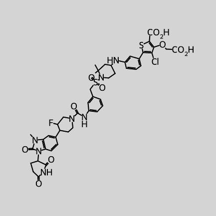 Cn1c(=O)n(C2CCC(=O)NC2=O)c2ccc(C3CCN(C(=O)Nc4cccc(CS(=O)(=O)N5CC[C@H](Nc6cccc(-c7sc(C(=O)O)c(OCC(=O)O)c7Cl)c6)CC5(C)C)c4)CC3F)cc21